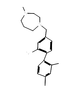 Cc1ccc(-c2ccc(CN3CCCN(C)CC3)cc2C#N)c(C)c1